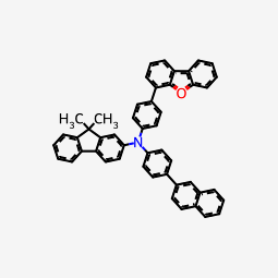 CC1(C)c2ccccc2-c2ccc(N(c3ccc(-c4ccc5ccccc5c4)cc3)c3ccc(-c4cccc5c4oc4ccccc45)cc3)cc21